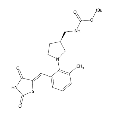 Cc1cccc(/C=C2\SC(=O)NC2=O)c1N1CC[C@@H](CNC(=O)OC(C)(C)C)C1